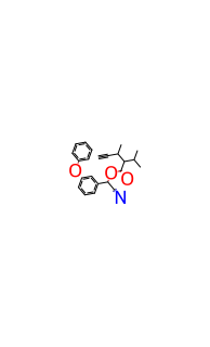 C#CC(C)C(C(=O)OC(C#N)c1cccc(Oc2ccccc2)c1)C(C)C